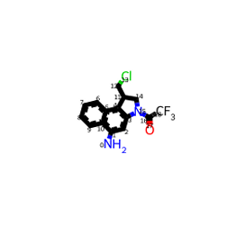 Nc1cc2c(c3ccccc13)C(CCl)CN2C(=O)C(F)(F)F